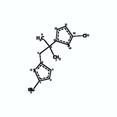 CC(C)(C)c1ccc(CC(C)(C)c2ccc(Cl)s2)s1